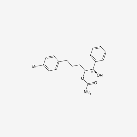 NC(=O)OC(CCCc1ccc(Br)cc1)[C@H](O)c1ccccc1